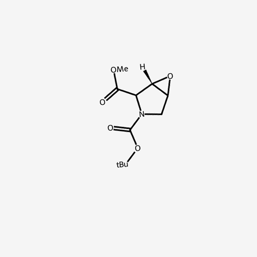 COC(=O)C1[C@@H]2OC2CN1C(=O)OC(C)(C)C